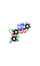 O=C(NC(=O)c1c(F)cccc1F)Nc1cc(Cl)c(Oc2cc(F)cc(F)c2)c(Cl)c1